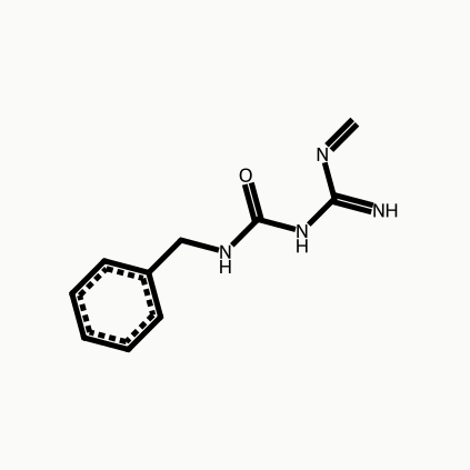 C=NC(=N)NC(=O)NCc1ccccc1